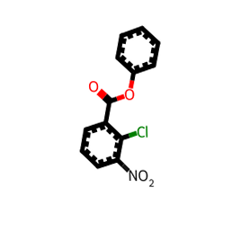 O=C(Oc1ccccc1)c1cccc([N+](=O)[O-])c1Cl